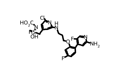 C[SH](O)(Cc1cc(Cl)nc(NCCCOc2cc(F)ccc2-c2cc(N)ncc2F)c1)=NC(=O)O